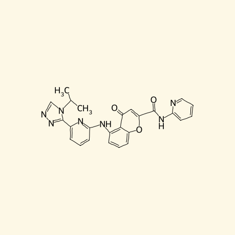 CC(C)n1cnnc1-c1cccc(Nc2cccc3oc(C(=O)Nc4ccccn4)cc(=O)c23)n1